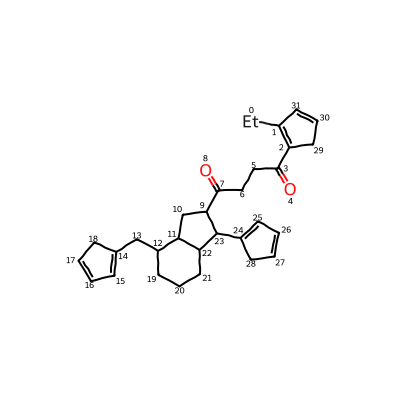 CCC1=C(C(=O)CCC(=O)C2CC3C(CC4=CC=CC4)CCCC3C2C2=CC=CC2)CC=C1